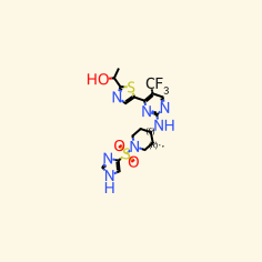 CC(O)c1ncc(-c2nc(N[C@H]3CCN(S(=O)(=O)c4c[nH]cn4)C[C@H]3C)ncc2C(F)(F)F)s1